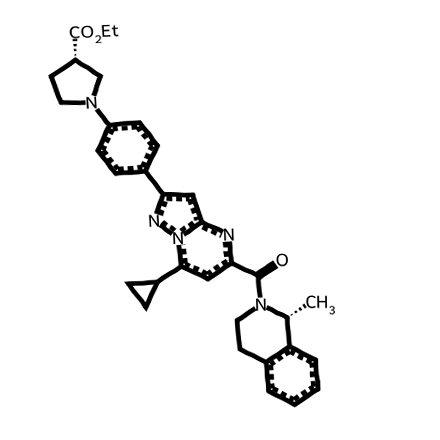 CCOC(=O)[C@H]1CCN(c2ccc(-c3cc4nc(C(=O)N5CCc6ccccc6[C@H]5C)cc(C5CC5)n4n3)cc2)C1